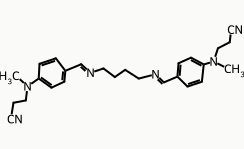 CN(CCC#N)c1ccc(/C=N/CCCC/N=C/c2ccc(N(C)CCC#N)cc2)cc1